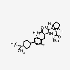 CN(C)C1CCC(c2ccc(C[C@H](NC(=O)[C@@H]3[C@H]4CC[C@H](C4)N3C(=O)OC(C)(C)C)C(N)=O)c(F)c2)CC1